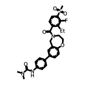 CCc1c(C(=O)N2CCOc3ccc(-c4ccc(NC(=O)N(C)C)cc4)cc3C2)ccc(S(C)(=O)=O)c1F